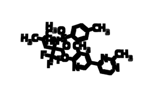 Cc1ccc(S(=O)(=O)NC(COc2ncc(-c3ccnc(C)n3)cc2C)(CC(C)C)C(F)(F)F)cc1